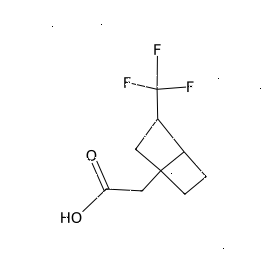 O=C(O)CC12CCC1C(C(F)(F)F)C2